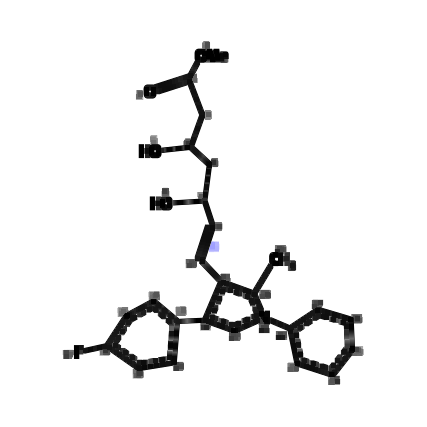 COC(=O)CC(O)CC(O)/C=C/c1c(-c2ccc(F)cc2)cn(-c2ccccc2)c1C